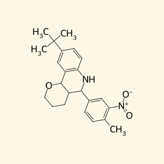 Cc1ccc(C2Nc3ccc(C(C)(C)C)cc3C3OCCCC23)cc1[N+](=O)[O-]